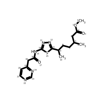 COC(=O)CC(C)CCC(C)c1nnc(NC(=O)Cc2ccncn2)s1